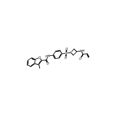 C=CC(=O)NC1CN(S(=O)(=O)c2ccc(NC(=O)c3oc4ccccc4c3C)cc2)C1